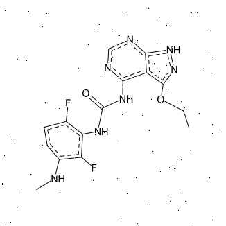 CCOc1n[nH]c2ncnc(NC(=O)Nc3c(F)ccc(NC)c3F)c12